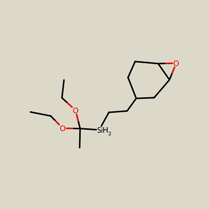 CCOC(C)(OCC)[SiH2]CCC1CCC2OC2C1